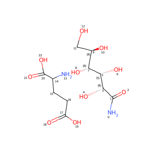 NC(=O)[C@H](O)[C@@H](O)[C@H](O)[C@H](O)CO.NC(CCC(=O)O)C(=O)O